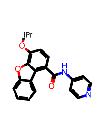 CC(C)Oc1ccc(C(=O)Nc2ccncc2)c2c1oc1ccccc12